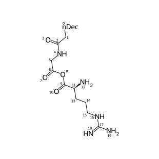 CCCCCCCCCCCC(=O)NCC(=O)OC(=O)[C@@H](N)CCCNC(=N)N